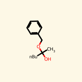 CCCCC(C)(O)OCc1ccccc1